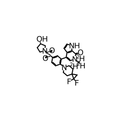 [2H]C([2H])([2H])n1cc(-c2cc(S(=O)(=O)N3CC[C@@H](O)C3)ccc2N2CCC3(CC2)CC3(F)F)c2cc[nH]c2c1=O